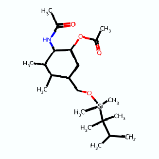 CC(=O)NC1C(OC(C)=O)CC(CO[Si](C)(C)C(C)(C)C(C)C)C(C)C1C